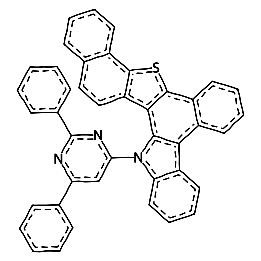 c1ccc(-c2cc(-n3c4ccccc4c4c5ccccc5c5sc6c7ccccc7ccc6c5c43)nc(-c3ccccc3)n2)cc1